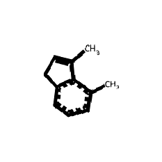 CC1=CCc2cccc(C)c21